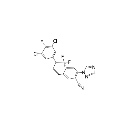 N#Cc1cc(/C=C\C(c2cc(Cl)c(F)c(Cl)c2)C(F)(F)F)ccc1-n1cncn1